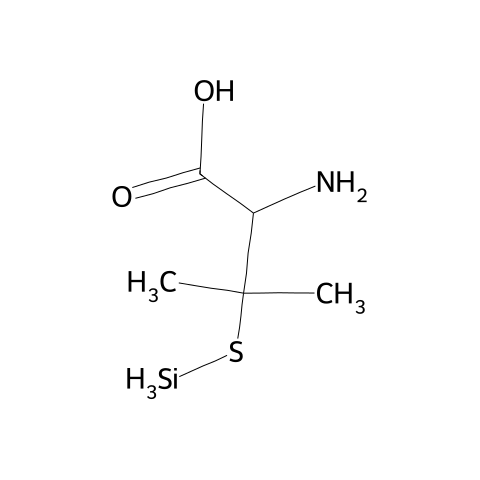 CC(C)(S[SiH3])C(N)C(=O)O